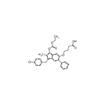 CCOC(=O)Oc1c(C)n(Cc2ccc(Cl)cc2)c2cc(-c3cccnc3)c(OCCCC(=O)O)cc12